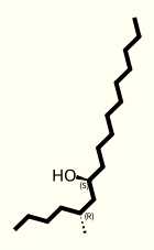 CCCCCCCCCC[C@H](O)C[C@H](C)CCCC